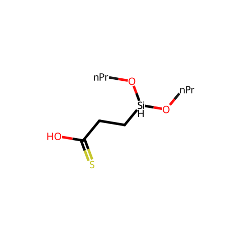 CCCO[SiH](CCC(O)=S)OCCC